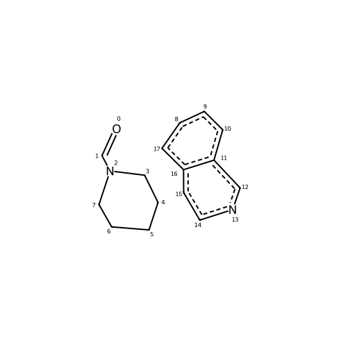 O=CN1CCCCC1.c1ccc2cnccc2c1